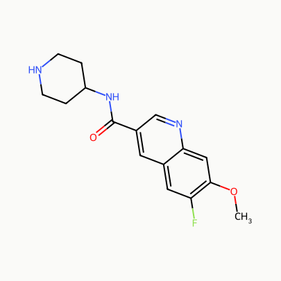 COc1cc2ncc(C(=O)NC3CCNCC3)cc2cc1F